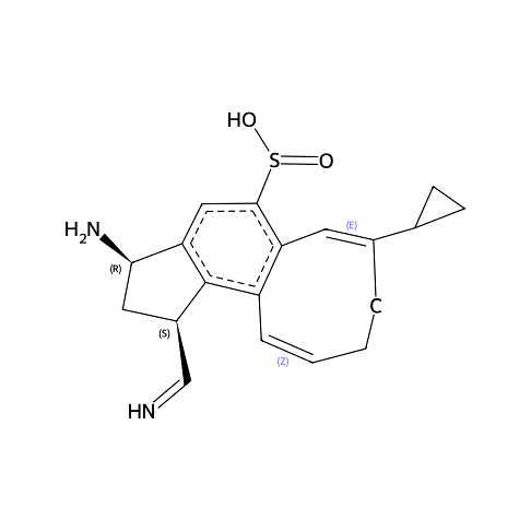 N=C[C@H]1C[C@@H](N)c2cc(S(=O)O)c3c(c21)/C=C\CC/C(C1CC1)=C\3